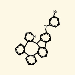 Brc1cccc(Oc2ccc3c(c2)C2c4ncccc4-c4ccccc4-c4ccccc4-c4cccc-3c42)c1